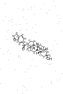 C[C@@]1(O)CC[C@H]2[C@H](CC[C@@H]3[C@@H]2CC[C@]2(C)[C@@H](C(=O)c4ccc5c(c4)OCC5)CC[C@@H]32)C1